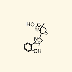 CN1C(C2CSC(c3ccccc3O)=N2)SCC1(C)C(=O)O